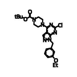 CCOc1cccc(Cn2ncc3c(N4CCN(C(=O)OC(C)(C)C)CC4)nc(Cl)nc32)c1